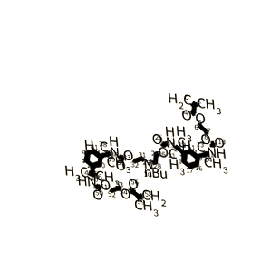 C=C(C)C(=O)OCCOC(=O)NC(C)(C)c1cccc(C(C)(C)NC(=O)OCCN(CCCC)CCOC(=O)NC(C)(C)c2cccc(C(C)(C)NC(=O)OCCOC(=O)C(=C)C)c2)c1